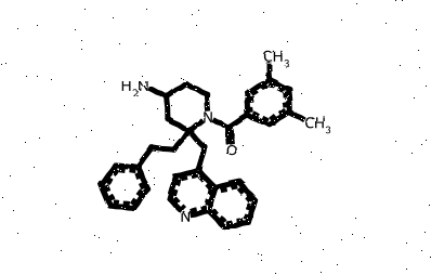 Cc1cc(C)cc(C(=O)N2CCC(N)CC2(CCc2ccccc2)Cc2ccnc3ccccc23)c1